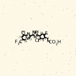 O=C(O)CCc1cc(Cl)c(-c2nc(-c3cn4cc(C(F)(F)F)cc(Cl)c4n3)no2)cc1F